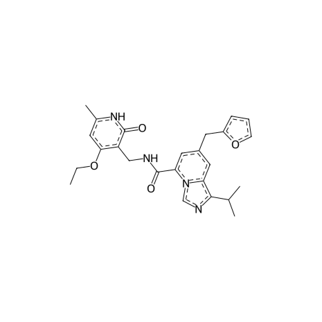 CCOc1cc(C)[nH]c(=O)c1CNC(=O)c1cc(Cc2ccco2)cc2c(C(C)C)ncn12